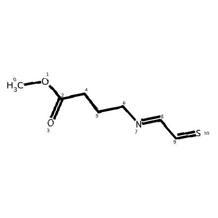 COC(=O)CCCN=CC=S